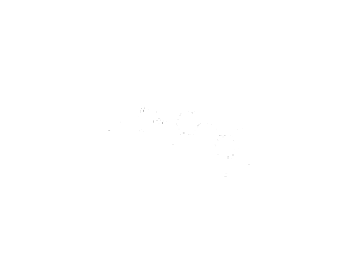 CCCOC(=O)N(C)SNc1ccc(Oc2ccc(C(F)(F)F)cc2Cl)cc1F